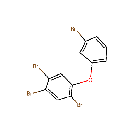 Brc1cccc(Oc2cc(Br)c(Br)cc2Br)c1